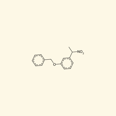 CC(c1cccc(OCc2ccccc2)c1)[N+](=O)[O-]